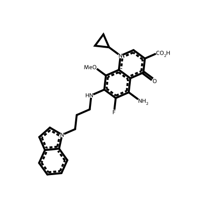 COc1c(NCCCn2ccc3ccccc32)c(F)c(N)c2c(=O)c(C(=O)O)cn(C3CC3)c12